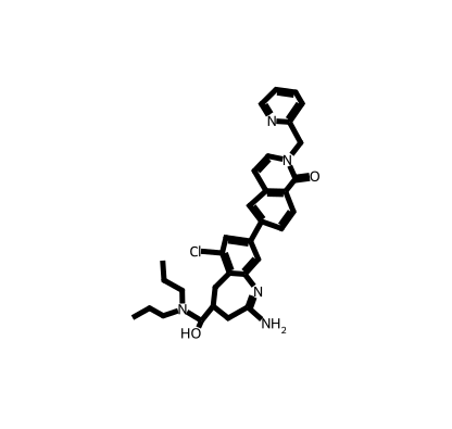 CCCN(CCC)C(O)C1CC(N)=Nc2cc(-c3ccc4c(=O)n(Cc5ccccn5)ccc4c3)cc(Cl)c2C1